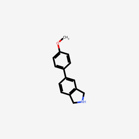 COc1ccc(-c2ccc3c(c2)CNC3)cc1